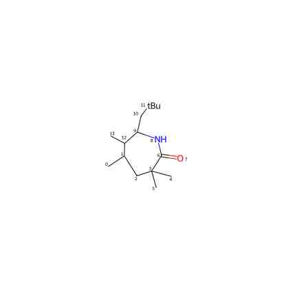 CC1CC(C)(C)C(=O)NC(CC(C)(C)C)C1C